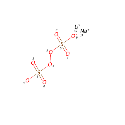 O=S(=O)([O-])OOS(=O)(=O)[O-].[Li+].[Na+]